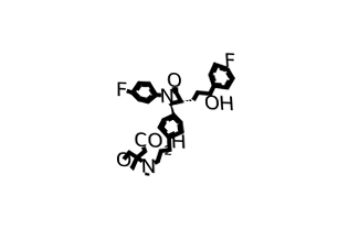 CN(CCCc1ccc([C@@H]2[C@@H](CC[C@H](O)c3ccc(F)cc3)C(=O)N2c2ccc(F)cc2)cc1)C1(CC(=O)O)COC1